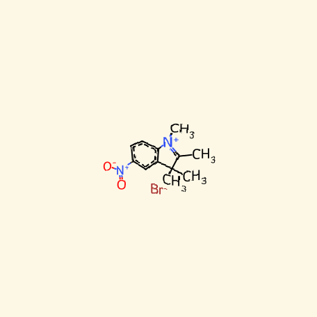 CC1=[N+](C)c2ccc([N+](=O)[O-])cc2C1(C)C.[Br-]